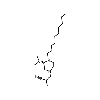 CCCCCCCCCCN1CCN(CC(C)C#N)CC1[SiH](C)C